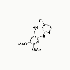 COc1cc2c(cc1OC)Nc1nccc(Cl)c1NC2